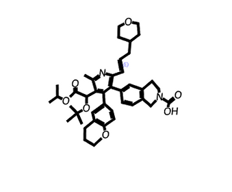 Cc1nc(/C=C/CC2CCOCC2)c(-c2ccc3c(c2)CCN(C(=O)O)C3)c(-c2ccc3c(c2)CCCO3)c1C(OC(C)(C)C)C(=O)OC(C)C